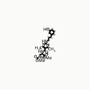 COC(=O)NCC(NC(=O)c1c(C)nc(NCCCc2cccc(O)c2)nc1C)C(=O)OC